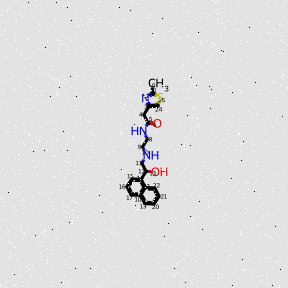 Cc1nc(CC(=O)NCCNCC(O)c2cccc3ccccc23)cs1